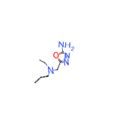 CCCN(CC)Cc1nnc(N)o1